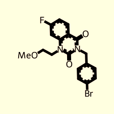 COCCn1c(=O)n(Cc2ccc(Br)cc2)c(=O)c2ccc(F)cc21